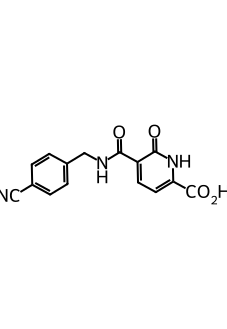 N#Cc1ccc(CNC(=O)c2ccc(C(=O)O)[nH]c2=O)cc1